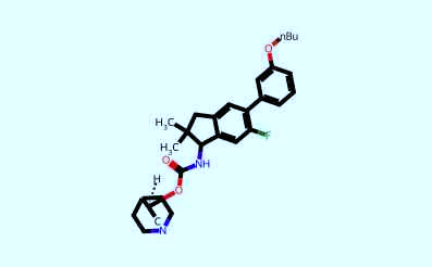 CCCCOc1cccc(-c2cc3c(cc2F)C(NC(=O)O[C@H]2CN4CCC2CC4)C(C)(C)C3)c1